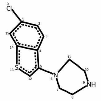 Clc1ccc2c(N3CCNCC3)csc2c1